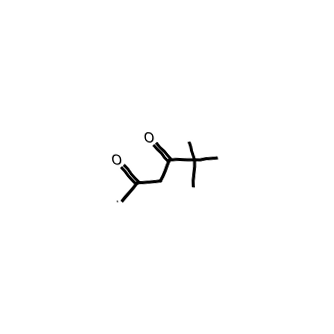 [CH2]C(=O)CC(=O)C(C)(C)C